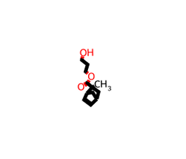 CC1(C(=O)OCCCO)CC2C=CC1C2